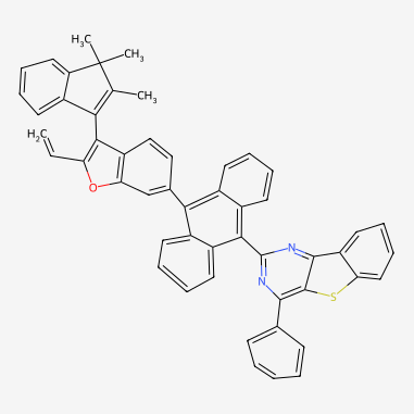 C=Cc1oc2cc(-c3c4ccccc4c(-c4nc(-c5ccccc5)c5sc6ccccc6c5n4)c4ccccc34)ccc2c1C1=C(C)C(C)(C)c2ccccc21